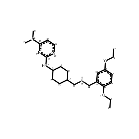 CCOc1ccc(OCC)c(CNCC2CCC(Nc3nccc(N(C)C)n3)CC2)c1